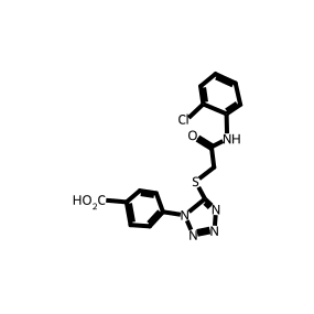 O=C(CSc1nnnn1-c1ccc(C(=O)O)cc1)Nc1ccccc1Cl